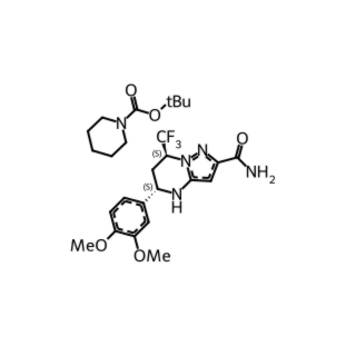 CC(C)(C)OC(=O)N1CCCCC1.COc1ccc([C@@H]2C[C@@H](C(F)(F)F)n3nc(C(N)=O)cc3N2)cc1OC